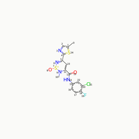 Cc1cnc(C2=N[S+]([O-])N(C)C(C(=O)Nc3ccc(F)c(Cl)c3)=C2)s1